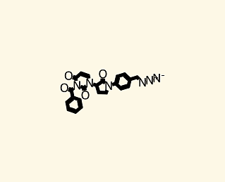 [N-]=[N+]=NCc1ccc(N2CCC(n3ccc(=O)n(C(=O)c4ccccc4)c3=O)C2=O)cc1